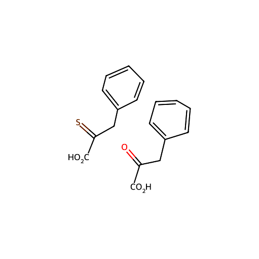 O=C(O)C(=O)Cc1ccccc1.O=C(O)C(=S)Cc1ccccc1